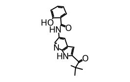 CC(C)(C)C(=O)c1cc2cc(NC(=O)c3ccccc3O)cnc2[nH]1